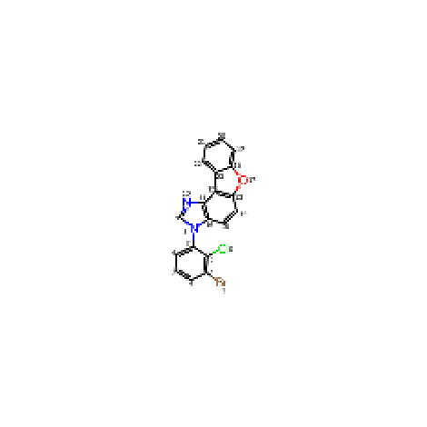 Clc1c(Br)cccc1-n1cnc2c3c(ccc21)oc1ccccc13